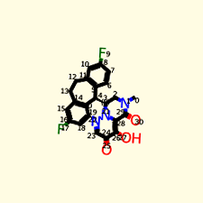 CN1C[C@H](C2c3ccc(F)cc3CCc3cc(F)ccc32)n2ncc(=O)c(O)c2C1=O